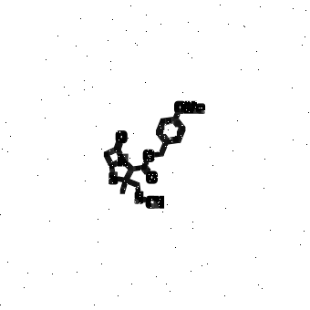 COc1ccc(COC(=O)C2N3C(=O)CC3SC2(C)CSC#N)cc1